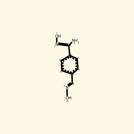 NC(=NO)c1ccc(C=NO)cc1